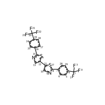 FC(F)(F)c1ccc(-c2ncc(-c3cnc(-c4ccc(C(F)(F)F)cc4)s3)s2)cc1